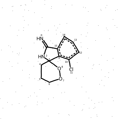 N=C1NC2(CCCOO2)c2c(Cl)cccc21